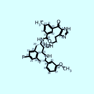 CCCc1nc[nH]c1C(=O)c1cc(C)cc(C(=O)N[C@@H](Cc2cc(F)cc(F)c2)[C@H](O)CNCc2cccc(OC)c2)c1